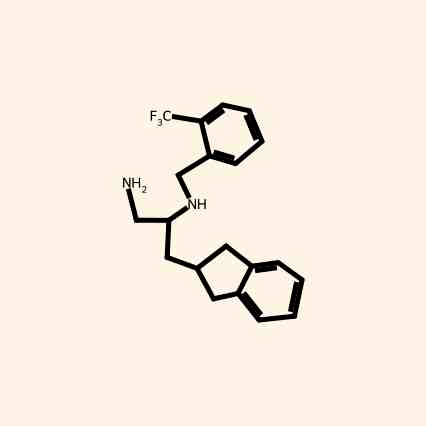 NCC(CC1Cc2ccccc2C1)NCc1ccccc1C(F)(F)F